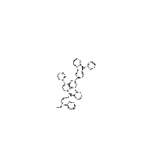 C/C=C(\C=C/CN(c1ccc(-c2ccccc2)cc1)c1ccccc1-c1cccc(-c2ccc3c(c2)c2ccccc2n3-c2ccccc2)c1)c1cc#ccc1